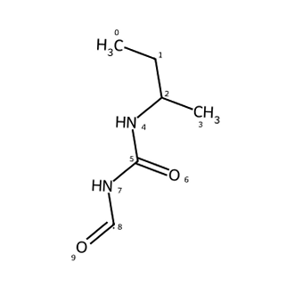 CCC(C)NC(=O)N[C]=O